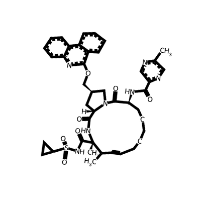 Cc1cnc(C(=O)N[C@H]2CCCCC/C=C\C(C)[C@](C)(C(=O)NS(=O)(=O)C3CC3)NC(=O)[C@@H]3C[C@@H](COc4nc5ccccc5c5ccccc45)CN3C2=O)cn1